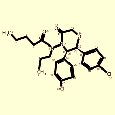 CCCCC(=O)N(CCC)N1C(=O)CO[C@@H](c2ccc(Cl)cc2)[C@H]1c1ccc(Cl)cc1